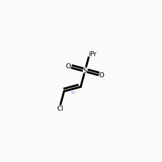 CC(C)S(=O)(=O)/C=C/Cl